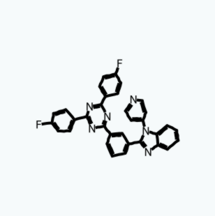 Fc1ccc(-c2nc(-c3ccc(F)cc3)nc(-c3cccc(-c4nc5ccccc5n4-c4ccncc4)c3)n2)cc1